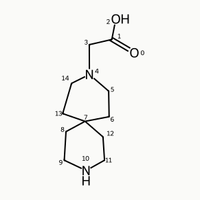 O=C(O)CN1CCC2(CCNCC2)CC1